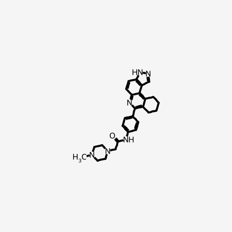 CN1CCN(CC(=O)Nc2ccc(-c3nc4ccc5[nH]ncc5c4c4c3CCCC4)cc2)CC1